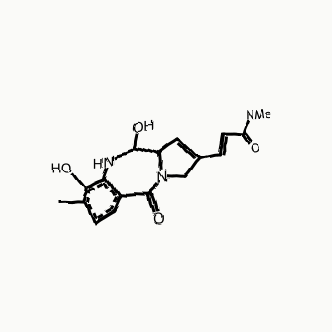 CNC(=O)/C=C/C1=CC2C(O)Nc3c(ccc(C)c3O)C(=O)N2C1